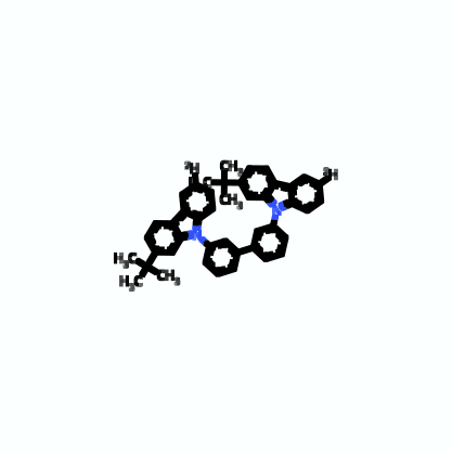 [2H]c1ccc2c(c1)c1ccc(C(C)(C)C)cc1n2-c1cccc(-c2cccc(-n3c4ccc([2H])cc4c4ccc(C(C)(C)C)cc43)c2)c1